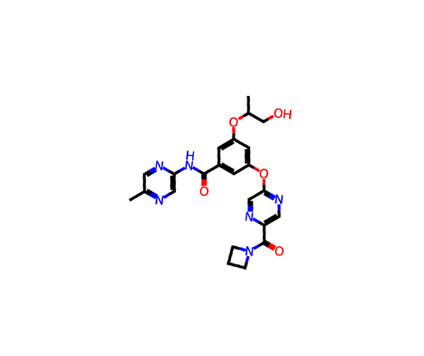 Cc1cnc(NC(=O)c2cc(Oc3cnc(C(=O)N4CCC4)cn3)cc(OC(C)CO)c2)cn1